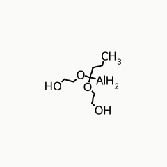 CCC[C]([AlH2])(OCCO)OCCO